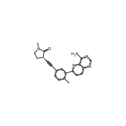 Cc1ccc(C#C[C@H]2CCN(C)C2=O)cc1-c1ccc2ncnc(N)c2n1